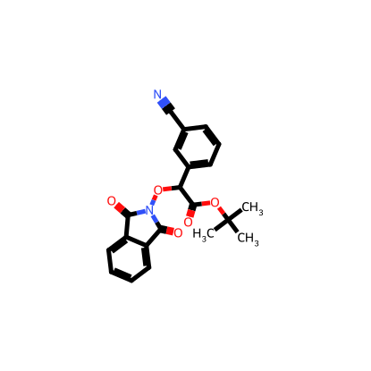 CC(C)(C)OC(=O)C(ON1C(=O)c2ccccc2C1=O)c1cccc(C#N)c1